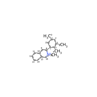 Cc1cc(C)c(C)c(-c2cc3ccccc3c[n+]2C)c1